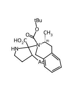 CC(=O)C1CCNC1(C(=O)O)[N+]1(C(=O)OC(C)(C)C)Cc2ccccc2C[C@H]1C